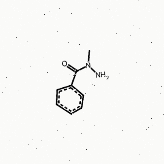 CN(N)C(=O)c1ccccc1